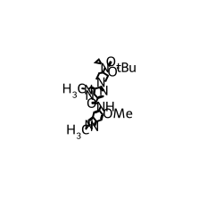 COc1cc2nn(C)cc2cc1NC(=O)c1cnc(N2CCC(N(C(=O)OC(C)(C)C)C3CC3)CC2)c2cn(C)nc12